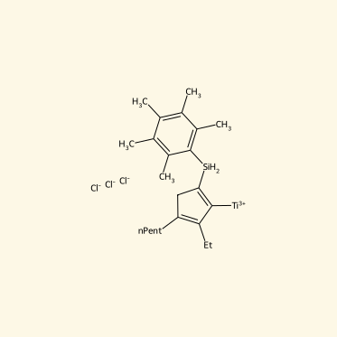 CCCCCC1=C(CC)[C]([Ti+3])=C([SiH2]c2c(C)c(C)c(C)c(C)c2C)C1.[Cl-].[Cl-].[Cl-]